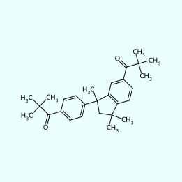 CC(C)(C)C(=O)c1ccc(C2(C)CC(C)(C)c3ccc(C(=O)C(C)(C)C)cc32)cc1